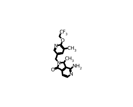 Cc1cc(CN2C(=O)c3ccnc(N)c3C2C)cnc1OCC(F)(F)F